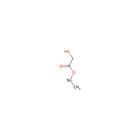 [CH3][Sn][O]C(=O)CS